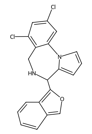 Clc1cc(Cl)c2c(c1)-n1cccc1C(c1occ3ccccc13)NC2